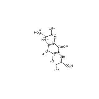 CC(C)CC(NC1=C(Cl)C(=O)C(NC(CC(C)C)C(=O)O)=C(Cl)C1=O)C(=O)O